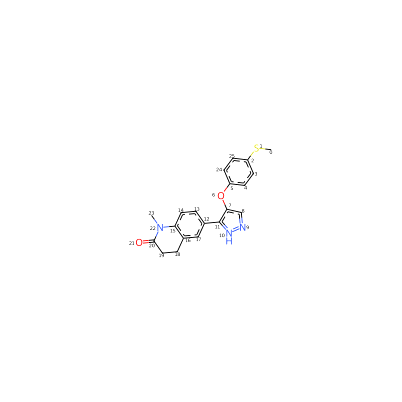 CSc1ccc(Oc2cn[nH]c2-c2ccc3c(c2)CCC(=O)N3C)cc1